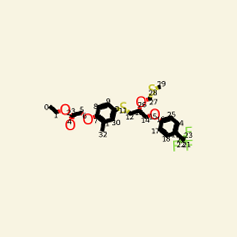 CCOC(=O)COc1ccc(SCC(COc2ccc(C(F)(F)F)cc2)OCSC)cc1C